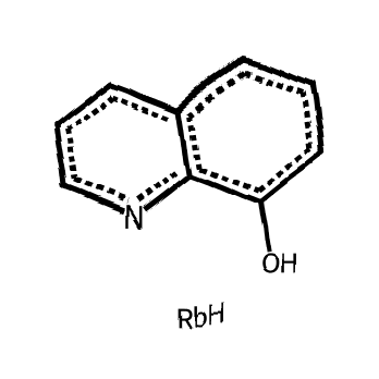 Oc1cccc2cccnc12.[RbH]